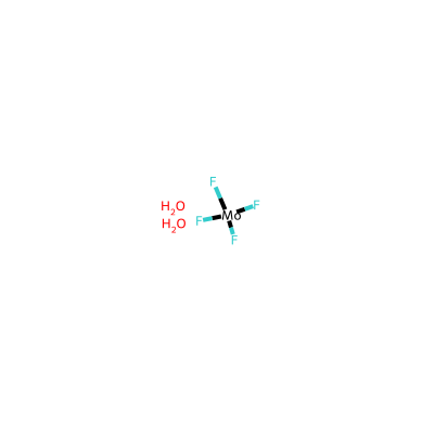 O.O.[F][Mo]([F])([F])[F]